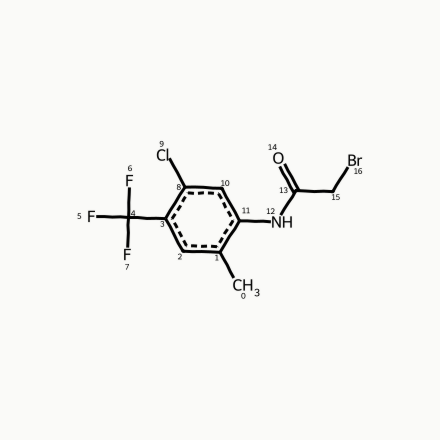 Cc1cc(C(F)(F)F)c(Cl)cc1NC(=O)CBr